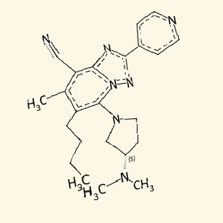 CCCCc1c(C)c(C#N)c2nc(-c3ccncc3)nn2c1N1CC[C@H](N(C)C)C1